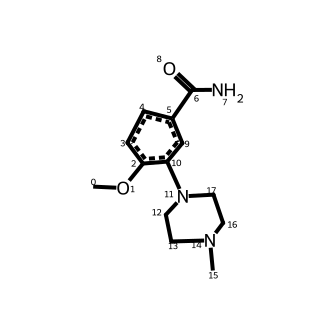 COc1ccc(C(N)=O)cc1N1CCN(C)CC1